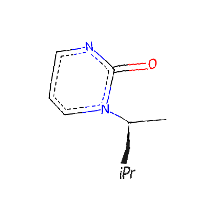 CC(C)[C@H](C)n1cccnc1=O